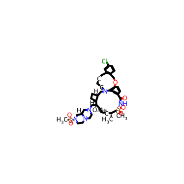 CO[C@]1(CN2CCN3CCN(S(C)(=O)=O)C[C@@H]3C2)/C=C/C[C@H](C)[C@@H](C)S(=O)(=O)NC(=O)c2ccc3c(c2)N(CCCCc2cc(Cl)ccc2CO3)C[C@@H]2CC[C@H]21